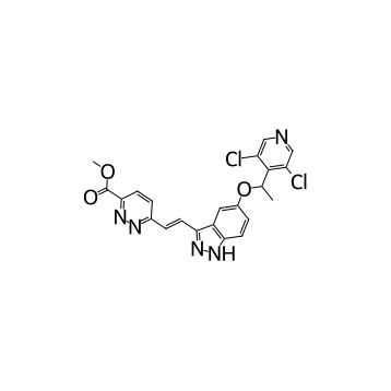 COC(=O)c1ccc(/C=C/c2n[nH]c3ccc(OC(C)c4c(Cl)cncc4Cl)cc23)nn1